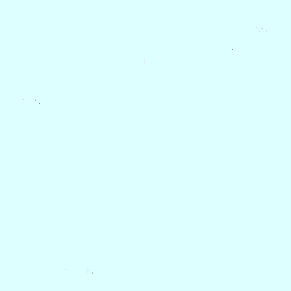 COC1(C)OC(Oc2ccc(CCNC(C)=O)c(-c3ccc(C4CN[C@H](C(=O)O)C4)c(F)c3)c2)C(O)C(O)C1C